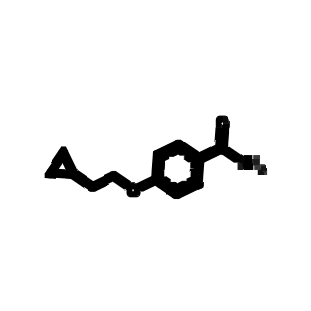 NC(=O)c1ccc(OCCC2CC2)cc1